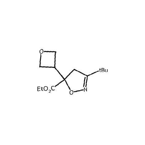 CCOC(=O)C1(C2COC2)CC(C(C)(C)C)=NO1